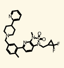 Cc1ccc(CN2CCC(c3ccccn3)CC2)cc1-c1ccc2c(n1)N(C)S(=O)(=O)N2CC1CC1(F)F